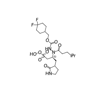 CC(C)CCC(=O)N(NC(=O)OCC1CCC(F)(F)CC1)[C@@H](CC1CCNC1=O)CS(=O)(=O)OO